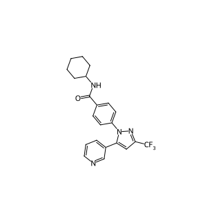 O=C(NC1CCCCC1)c1ccc(-n2nc(C(F)(F)F)cc2-c2cccnc2)cc1